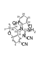 CC1(C)Oc2ccc(C#N)cc2[C@H](N(C(N)=NC#N)c2ccccc2Cl)[C@H]1O